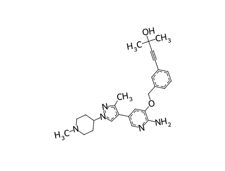 Cc1nn(C2CCN(C)CC2)cc1-c1cnc(N)c(OCc2cccc(C#CC(C)(C)O)c2)c1